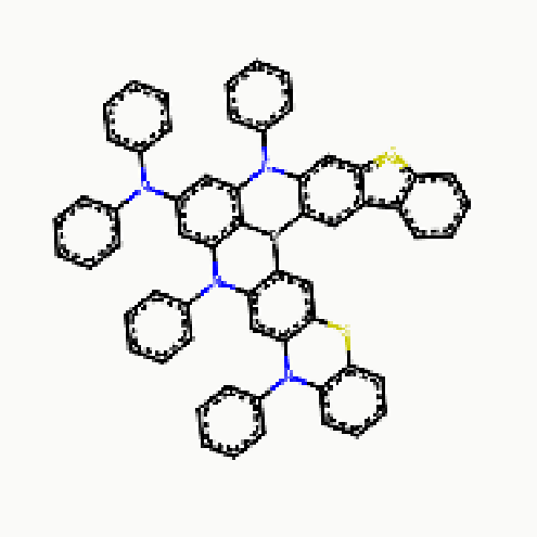 c1ccc(N(c2ccccc2)c2cc3c4c(c2)N(c2ccccc2)c2cc5sc6ccccc6c5cc2B4c2cc4c(cc2N3c2ccccc2)N(c2ccccc2)c2ccccc2S4)cc1